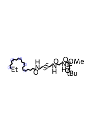 CC/C=C\C/C=C\C/C=C\C/C=C\C/C=C\CCCC(=O)NCCSSCCNC(=O)CCNC(=O)[C@H](OC)C(C)(C)COC(C)(C)C